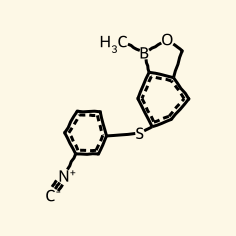 [C-]#[N+]c1cccc(Sc2ccc3c(c2)B(C)OC3)c1